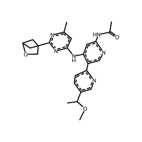 COC(C)c1ccc(-c2cnc(NC(C)=O)cc2Nc2cc(C)nc(C34COC(C3)C4)n2)nc1